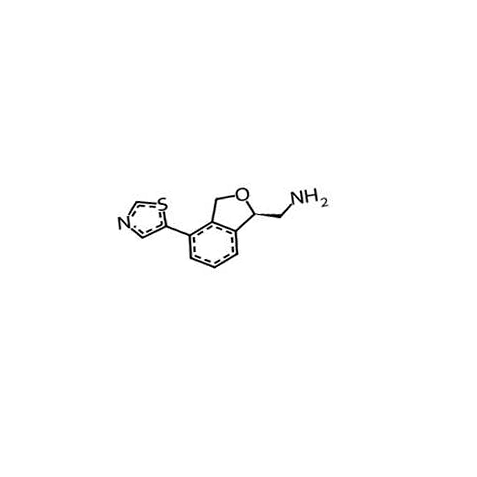 NC[C@@H]1OCc2c(-c3cncs3)cccc21